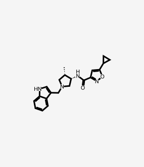 C[C@H]1CN(Cc2c[nH]c3ccccc23)C[C@H]1NC(=O)c1cc(C2CC2)on1